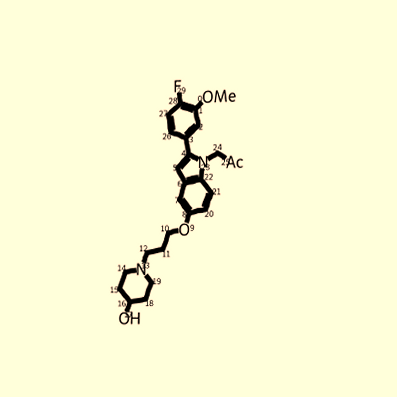 COc1cc(-c2cc3cc(OCCCN4CCC(O)CC4)ccc3n2CC(C)=O)ccc1F